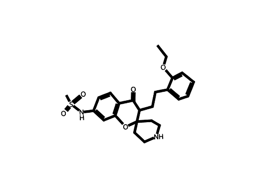 CCOc1ccccc1CCC1C(=O)c2ccc(NS(C)(=O)=O)cc2OC12CCNCC2